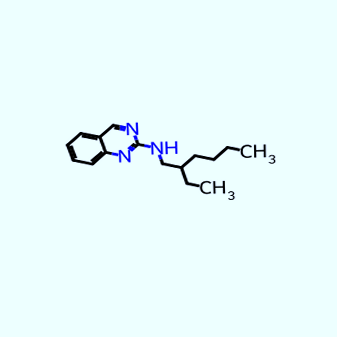 CCCCC(CC)CNc1ncc2ccccc2n1